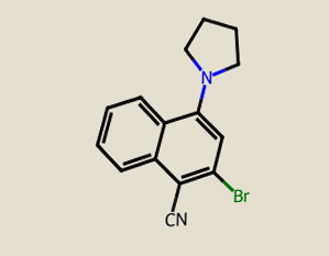 N#Cc1c(Br)cc(N2CCCC2)c2ccccc12